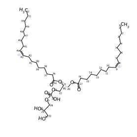 CCCCCCCC/C=C\CCCCCCCC(=O)OC[C@H](COP(=O)(O)OCC(O)CO)OC(=O)CCCCCCC/C=C\CCCCCCCC